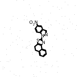 O=[N+]([O-])c1ccc2c(cnn2-c2nc3c(s2)CCc2ccccc2-3)c1